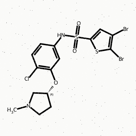 CN1CC[C@@H](Oc2cc(NS(=O)(=O)c3cc(Br)c(Br)s3)ccc2Cl)C1